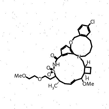 COCCOCCC1[C@@H](C)C/C=C/[C@H](OC)[C@@H]2CC[C@H]2CN2CCCCc3cc(Cl)ccc3COc3ccc(cc32)C(=O)NS1(=O)=O